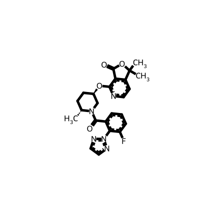 C[C@@H]1CC[C@@H](Oc2nccc3c2C(=O)OC3(C)C)CN1C(=O)c1cccc(F)c1-n1nccn1